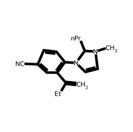 C=C(CC)c1cc(C#N)ccc1N1C=CN(C)C1CCC